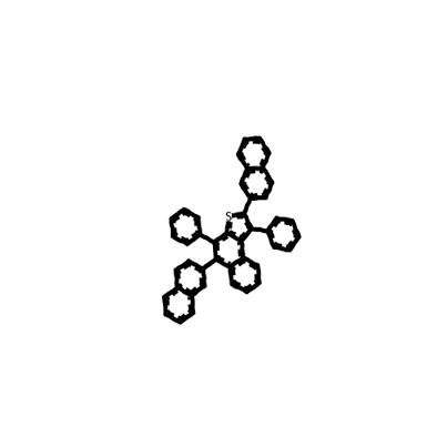 c1ccc(-c2c(-c3ccc4ccccc4c3)c3ccccc3c3c(-c4ccccc4)c(-c4ccc5ccccc5c4)sc23)cc1